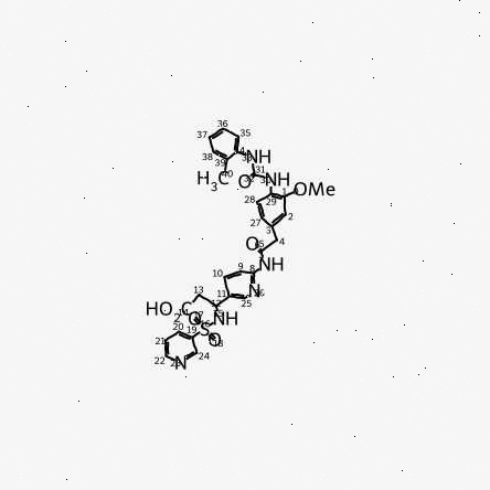 COc1cc(CC(=O)Nc2ccc(C(CC(=O)O)NS(=O)(=O)c3cccnc3)cn2)ccc1NC(=O)Nc1ccccc1C